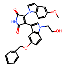 COc1ccc2c(ccn2C2=C(c3cn(CCO)c4ccc(OCc5ccccc5)cc34)C(=O)NC2=O)c1